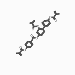 C=C(C)C(=O)Oc1ccc(C(=O)Oc2ccc(-c3ccc(OC(=O)C(=C)C)cc3)c(OC(=O)C(=C)C)c2)cc1